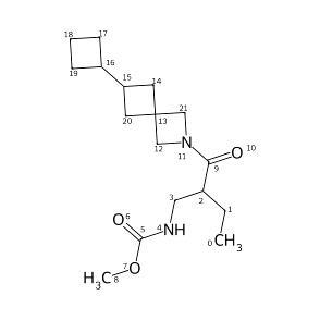 CCC(CNC(=O)OC)C(=O)N1CC2(CC(C3CCC3)C2)C1